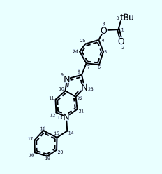 CC(C)(C)C(=O)Oc1ccc(-c2nc3ccn(Cc4ccccc4)cc-3n2)cc1